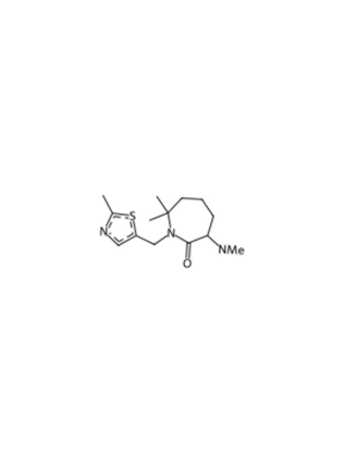 CNC1CCCC(C)(C)N(Cc2cnc(C)s2)C1=O